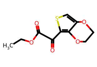 CCOC(=O)C(=O)c1scc2c1OCCO2